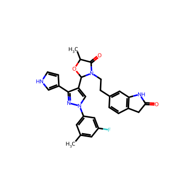 Cc1cc(F)cc(-n2cc(C3OC(C)C(=O)N3CCc3ccc4c(c3)NC(=O)C4)c(-c3cc[nH]c3)n2)c1